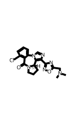 CN(C)Cc1nc(-c2ncn3c2[C@@H]2CCCN2C(=O)c2c(Cl)cccc2-3)no1